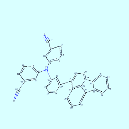 N#Cc1cccc(N(c2cccc(C#N)c2)c2cccc(-c3ccc4c5c(cccc35)-c3ccccc3-4)c2)c1